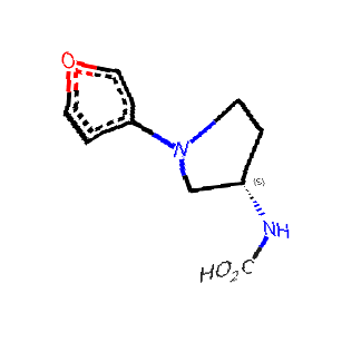 O=C(O)N[C@H]1CCN(c2ccoc2)C1